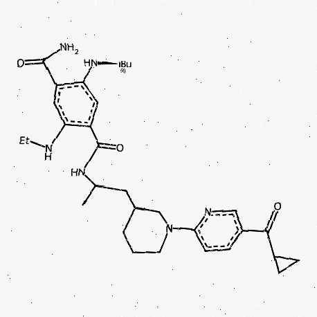 CCNc1cc(C(N)=O)c(N[C@H](C)CC)cc1C(=O)NC(C)CC1CCCN(c2ccc(C(=O)C3CC3)cn2)C1